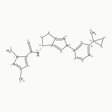 Cn1nc(C(F)(F)F)cc1C(=O)N[C@@H]1CCc2nn(-c3ccnc(C4(C)CC4)c3)cc21